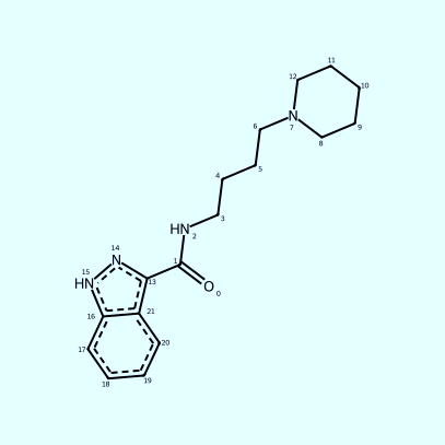 O=C(NCCCCN1CCCCC1)c1n[nH]c2ccccc12